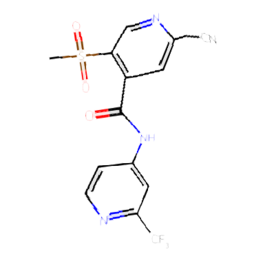 CS(=O)(=O)c1cnc(C#N)cc1C(=O)Nc1ccnc(C(F)(F)F)c1